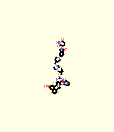 C#Cc1c(F)ccc2cc(O)cc(-c3ncc4c(N5CC6CCC(C5)N6C(=O)CC)nc(OCC5(CN6CCN(CC7CCN(c8ccc9c(c8)CN(C8CCC(=O)NC8=O)C9=O)CC7)CC6)CC5)nc4c3F)c12